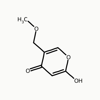 COCc1coc(O)cc1=O